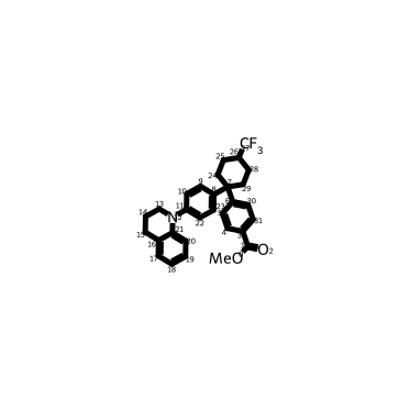 COC(=O)c1ccc(C2(c3ccc(N4CCCc5ccccc54)cc3)CCC(C(F)(F)F)CC2)cc1